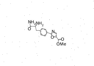 COC(=O)c1cnc(-c2ccc(C[C@H](N)C(N)=O)cc2)o1